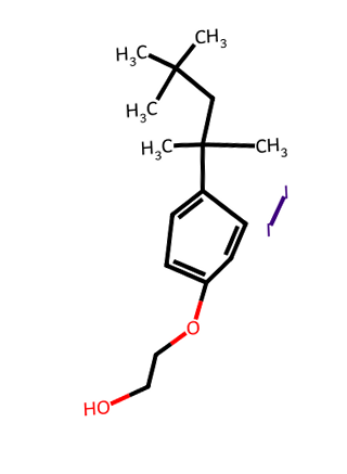 CC(C)(C)CC(C)(C)c1ccc(OCCO)cc1.II